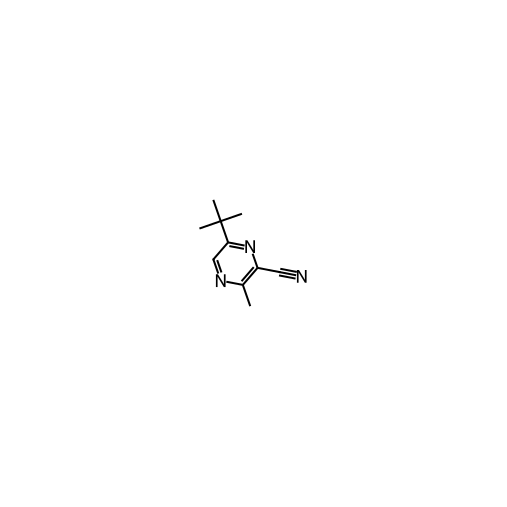 Cc1ncc(C(C)(C)C)nc1C#N